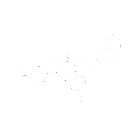 CCCN(CCN1C(=O)C(O)C(c2ccc(OC)cc2)Sc2cc(Cl)ccc21)Cc1ccccc1